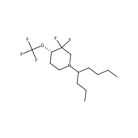 CCCCC(CCC)N1CC[C@H](OC(F)(F)F)C(F)(F)C1